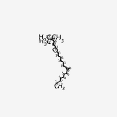 CCCCCCCC1CC1CCCCCCOCCCC(C)(C)C